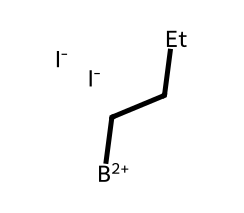 [B+2]CCCC.[I-].[I-]